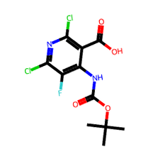 CC(C)(C)OC(=O)Nc1c(F)c(Cl)nc(Cl)c1C(=O)O